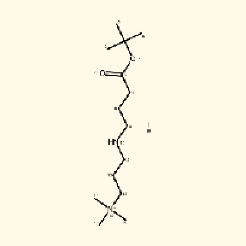 CC(C)(C)OC(=O)CCCNCCC[N+](C)(C)C.[I-]